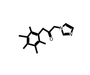 Cc1c(C)c(C)c(CC(=O)Cn2ccnc2)c(C)c1C